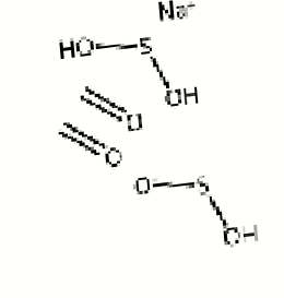 C=O.C=O.OSO.[Na+].[O-]SO